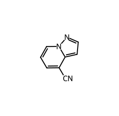 N#Cc1cccn2nccc12